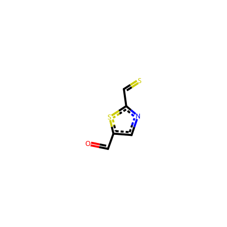 O=Cc1cnc(C=S)s1